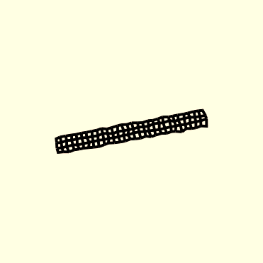 C1C2C3CC4C5C6C7C8C9C%10C%11C%12C%13C%14C%15C%16C%17C%18C%19C%20C%21C%22C%23C%24C%25C%26C%27C%28C%29C%30C%31CC%32C%33CC%34C%35C%36C%37C%38C%39C%40C%41C%42C%43C%44C%45C%46C%47C%48C%49C%50C%51C%52C%53C%54C%55C%56C%57C%58C%59C%60C1C21C34C52C%601C%591C62C72C%581C%571C82C92C%561C%551C%102C%112C%541C%531C%122C%132C%521C%511C%142C%152C%501C%491C%162C%172C%481C%471C%463C%454C%445C%436C%427C%418C%409C%39%10C%38%11C%37%12C%36%13C%35%14C%33%34C%32%31C%30%14C%29%13C%28%12C%27%11C%26%10C%259C%248C%237C%226C%215C%204C%193C%1812